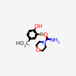 NC(=O)N1CCOCC1.O=C(O)c1ccc(O)c(Br)c1